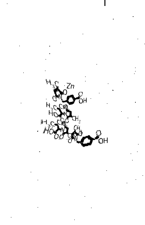 CC1=CC(=O)N(C(C(=O)O)C(C)C)C1=O.CC1=CC(=O)N(C(C(=O)O)C(C)C)C1=O.CC1=CC(=O)N(Cc2ccc(C(=O)O)cc2)C1=O.CC1=CC(=O)N(Cc2ccc(C(=O)O)cc2)C1=O.[Zn]